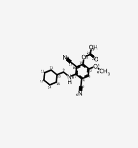 COc1cc(C#N)c(NCC2CCCCC2)c(C#N)c1OC(=O)O